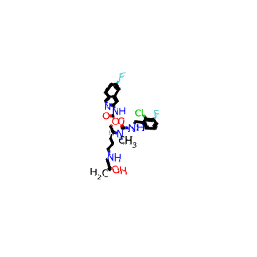 C=C(O)CNCCC[C@@H](COC(=O)Nc1cc2cc(F)ccc2cn1)N(C)C(=O)NCc1cccc(F)c1Cl